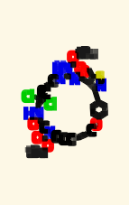 Cc1snc2c1C(=O)/N=C(\NC(=O)OC(C)(C)C)NCc1cc(Cl)c(c(Cl)c1)NC(=O)CN(C(=O)OC(C)(C)C)CCCC=CCOc1ccc-2cc1